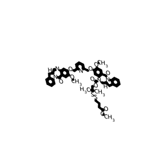 COC(=O)CCCSSC(C)(C)COC(=O)N1C[C@@H]2Cc3ccccc3N2C(=O)c2cc(OC)c(OCc3cccc(COc4cc5c(cc4OC)C(=O)N4c6ccccc6C[C@H]4C=N5)n3)cc21